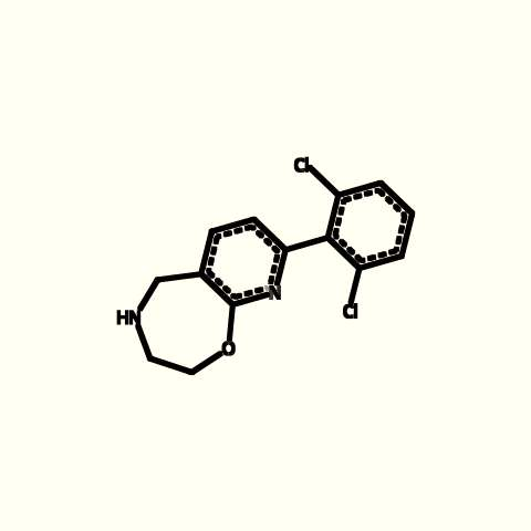 Clc1cccc(Cl)c1-c1ccc2c(n1)OCCNC2